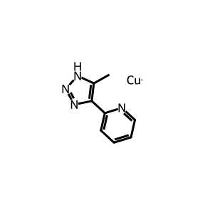 Cc1[nH]nnc1-c1ccccn1.[Cu]